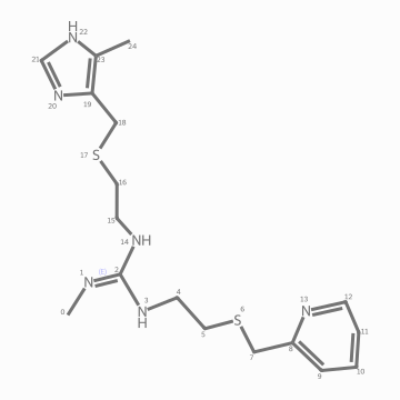 C/N=C(\NCCSCc1ccccn1)NCCSCc1nc[nH]c1C